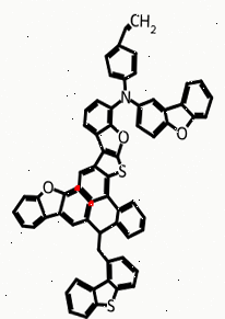 C=Cc1ccc(N(c2ccc3oc4ccccc4c3c2)c2cccc3c2oc2sc4c(-c5ccccc5C(Cc5cccc6sc7ccccc7c56)c5ccc6oc7ccccc7c6c5)cccc4c23)cc1